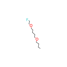 CCCCOCCCCCOCCF